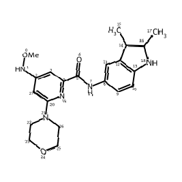 CONc1cc(C(=O)Nc2ccc3c(c2)C(C)C(C)N3)nc(N2CCOCC2)c1